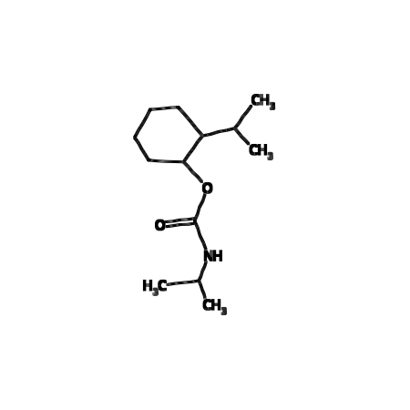 CC(C)NC(=O)OC1CCCCC1C(C)C